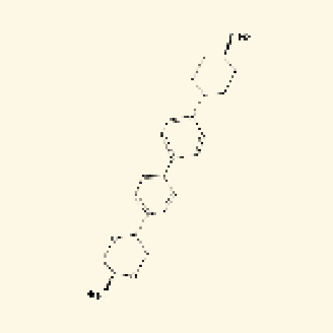 CCCCCCC[C@H]1CO[C@H](c2ccc(-c3ccc([C@H]4CC[C@H](CCCCCC)CC4)cc3)cc2)CO1